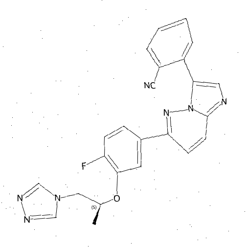 C[C@@H](Cn1cnnc1)Oc1cc(-c2ccc3ncc(-c4ccccc4C#N)n3n2)ccc1F